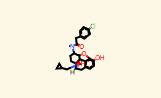 CN(C(=O)Cc1ccc(Cl)cc1)C1CC[C@@]2(O)[C@H]3Cc4ccc(O)c5c4[C@@]2(CCN3CC2CC2)C1O5